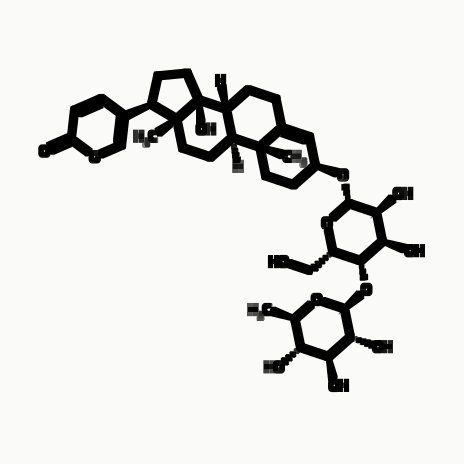 C[C@H]1O[C@@H](O[C@H]2[C@H](O)[C@H](O)[C@@H](O[C@@H]3C=C4CC[C@@H]5[C@H](CC[C@]6(C)[C@@H](c7ccc(=O)oc7)CC[C@]56O)[C@@]4(C)CC3)O[C@H]2CO)[C@H](O)[C@@H](O)[C@@H]1O